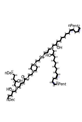 CCCCC/C=C\C/C=C\CCCCCCC(O)CN(CCCSSCCN1CCN(CCOC(=O)CCCN(CC(O)CCCCCCCCCCCC)CC(O)CCCCCCCCCCCC)CC1)CC(O)CCCCCC/C=C\C/C=C\CCCCC